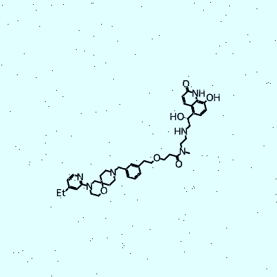 CCc1ccnc(N2CCOC3(CCN(Cc4cccc(CCOCCC(=O)N(C)CCNC[C@H](O)c5ccc(O)c6[nH]c(=O)ccc56)c4)CC3)C2)c1